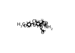 COc1ccc(COc2cc(OCC3CO3)c(C3(NC(N)=O)CC3)cc2Cl)cc1